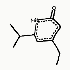 CCc1cc(C(C)C)[nH]c(=O)c1